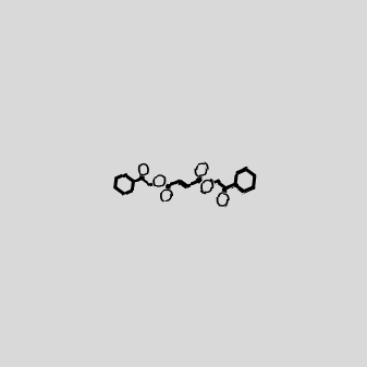 O=C(/C=C/C(=O)OCC(=O)C1CCCCC1)OCC(=O)C1CCCCC1